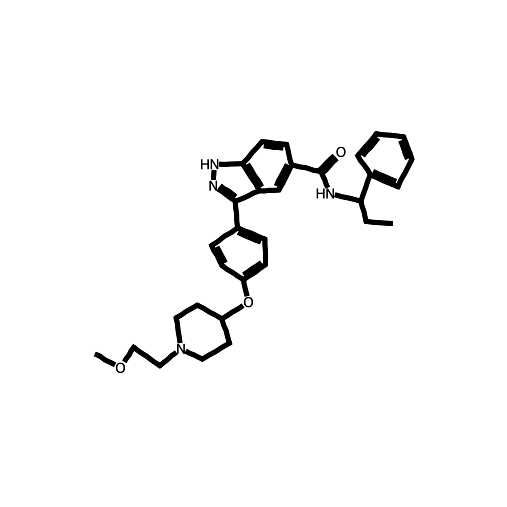 CCC(NC(=O)c1ccc2[nH]nc(-c3ccc(OC4CCN(CCOC)CC4)cc3)c2c1)c1ccccc1